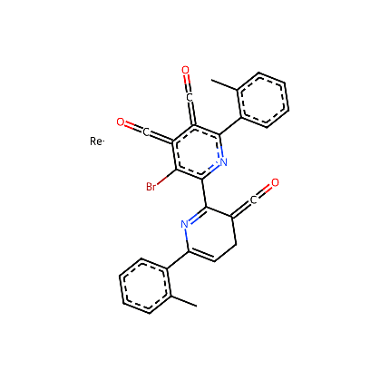 Cc1ccccc1C1=CCC(=C=O)C(c2nc(-c3ccccc3C)c(=C=O)c(=C=O)c2Br)=N1.[Re]